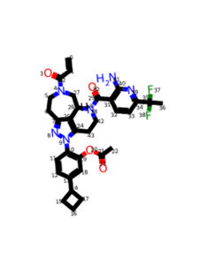 C=CC(=O)N1CCc2nn(-c3ccc(C4CCC4)cc3OC(C)=O)c3c2[C@H](C1)N(C(=O)c1ccc(C(C)(F)F)nc1N)CC3